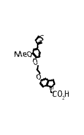 COc1cc(-c2ccsc2)ccc1OCCCOc1ccc2c(c1)CC[C@H]2CC(=O)O